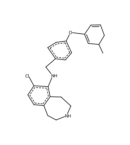 CC1C=C(Oc2ccc(CNc3c(Cl)ccc4c3CCNCC4)cc2)C=CC1